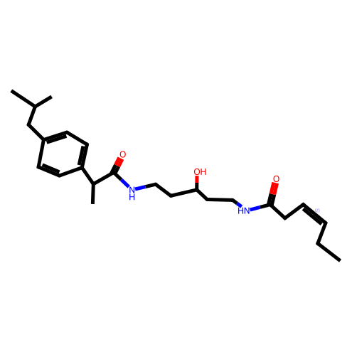 CC/C=C\CC(=O)NCCC(O)CCNC(=O)C(C)c1ccc(CC(C)C)cc1